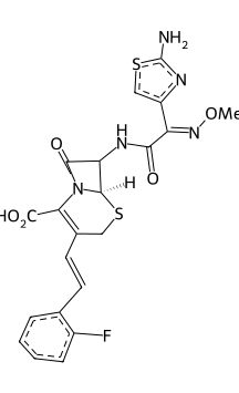 CO/N=C(/C(=O)NC1C(=O)N2C(C(=O)O)=C(/C=C/c3ccccc3F)CS[C@H]12)c1csc(N)n1